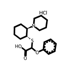 Cl.O=C(O)C(Oc1ccccc1)S[C@@H]1CCCC[C@H]1N1CCCCC1